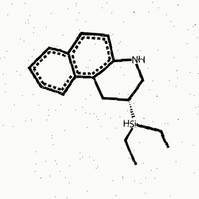 CC[SiH](CC)[C@H]1CNc2ccc3ccccc3c2C1